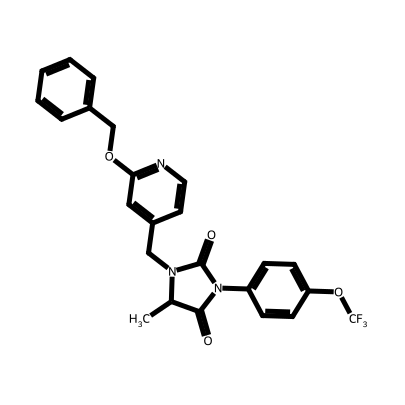 CC1C(=O)N(c2ccc(OC(F)(F)F)cc2)C(=O)N1Cc1ccnc(OCc2ccccc2)c1